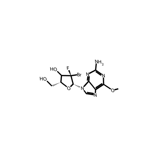 COc1nc(N)nc2c1ncn2[C@@H]1O[C@H](CO)C(O)[C@]1(F)Br